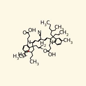 C=CCC1(CC(CC)CCC)C(/C=C/C(C#N)=C/C=C2/N(CCC(=O)O)c3ccc(OC)cc3C2(CC=C)CC(CC)CCC)=[N+](CCC(=O)O)c2ccc(C)cc21